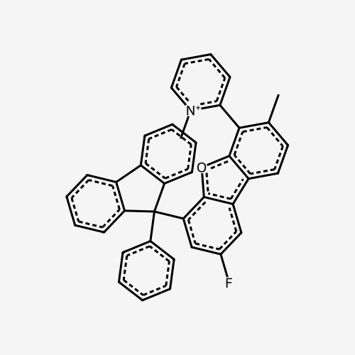 Cc1ccc2c(oc3c(C4(c5ccccc5)c5ccccc5-c5ccccc54)cc(F)cc32)c1-c1cccc[n+]1C